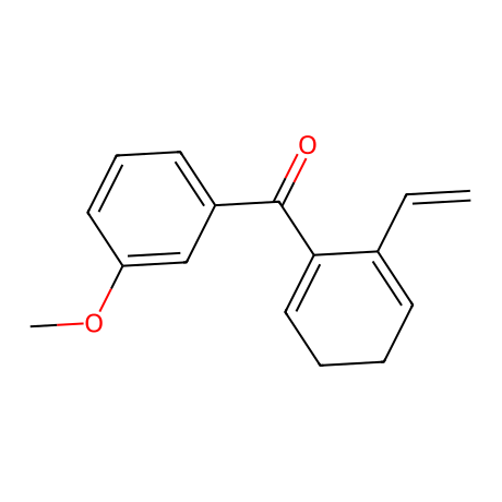 C=CC1=CCCC=C1C(=O)c1cccc(OC)c1